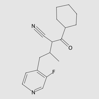 CC(Cc1ccncc1F)C(C#N)C(=O)C1CCCCC1